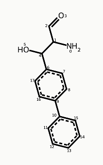 NC(C=O)C(O)c1ccc(-c2ccccc2)cc1